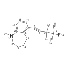 CN1CCCCc2c(C#CC(C)(C)C(F)(F)F)cccc21